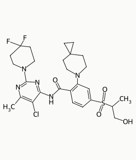 Cc1nc(N2CCC(F)(F)CC2)nc(NC(=O)c2ccc(S(=O)(=O)C(C)CO)cc2N2CCC3(CC2)CC3)c1Cl